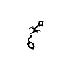 [NH]C(C(=O)OCCc1ccccc1)C1CCC1